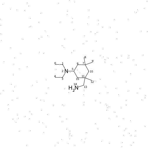 CCN(CC)C1CC(C)(C)CC(C)(CN)C1